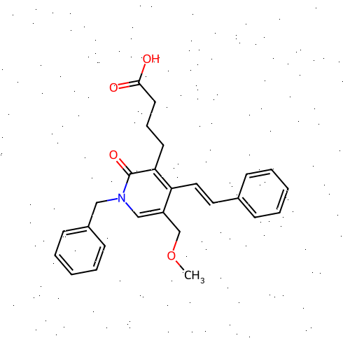 COCc1cn(Cc2ccccc2)c(=O)c(CCCC(=O)O)c1C=Cc1ccccc1